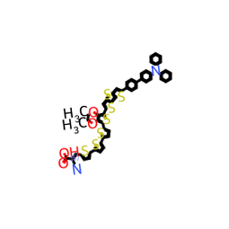 CC1Oc2c(-c3ccc(-c4ccc(-c5ccc(/C=C(\C#N)C(=O)O)s5)s4)s3)sc(-c3cc4sc5cc(-c6ccc(-c7ccc(N(c8ccccc8)c8ccccc8)cc7)cc6)sc5c4s3)c2OC1C